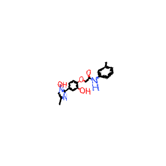 Cc1cccc(NC(=O)COc2ccc(-c3nc(C)cn3O)cc2O)c1